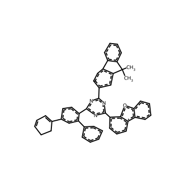 CC1(C)c2ccccc2-c2ccc(-c3nc(-c4ccc(C5=CC=CCC5)cc4-c4ccccc4)nc(-c4cccc5c4oc4ccccc45)n3)cc21